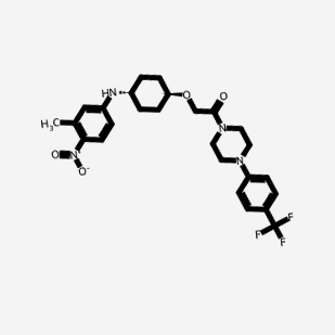 Cc1cc(N[C@H]2CC[C@H](OCC(=O)N3CCN(c4ccc(C(F)(F)F)cc4)CC3)CC2)ccc1[N+](=O)[O-]